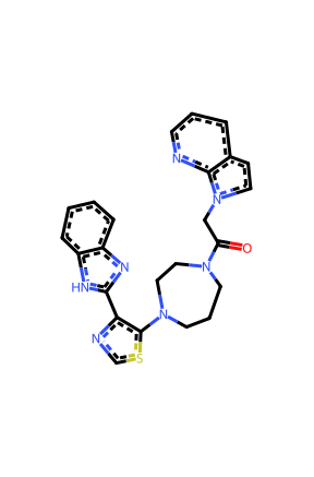 O=C(Cn1ccc2cccnc21)N1CCCN(c2scnc2-c2nc3ccccc3[nH]2)CC1